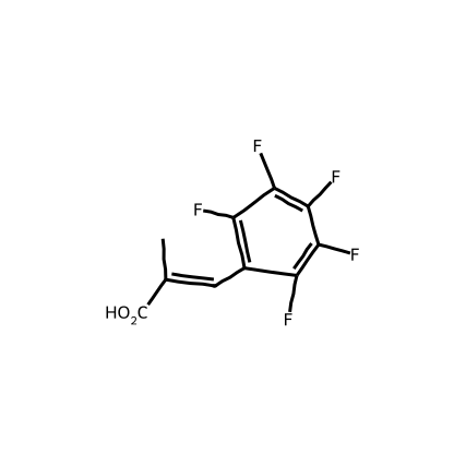 CC(=Cc1c(F)c(F)c(F)c(F)c1F)C(=O)O